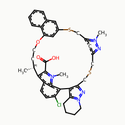 C[C@@H]1CCOc2cc(cc3ccccc23)SCc2cc(nn2C)CSCc2nn3c(c2-c2c(Cl)ccc4c1c(C(=O)O)n(C)c24)CCCC3